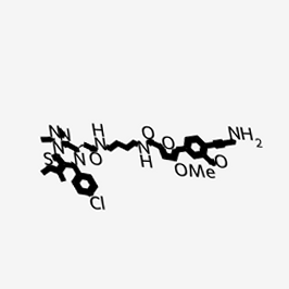 COC(=O)c1cc(-c2ccc(C(=O)NCCCCNC(=O)C[C@@H]3N=C(c4ccc(Cl)cc4)c4c(sc(C)c4C)-n4c(C)nnc43)o2)ccc1C#CCN